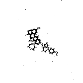 C#Cc1c(F)ccc2cc(O)cc(-c3nc(OC)c4c(N5CCCOCC5)nc(OC[C@]56CCC[C@H]5N(C5CCC(OC)CC5)CCC6)nc4c3F)c12